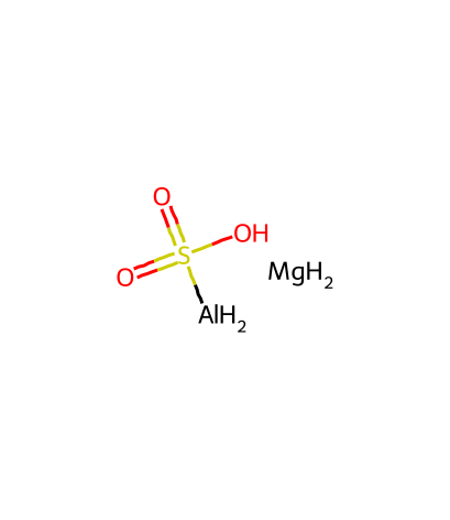 O=[S](=O)(O)[AlH2].[MgH2]